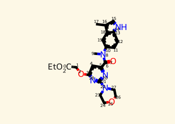 CCOC(=O)COc1cc(C(=O)N(C)c2ccc3[nH]cc(C)c3c2)nc(N2CCOCC2)n1